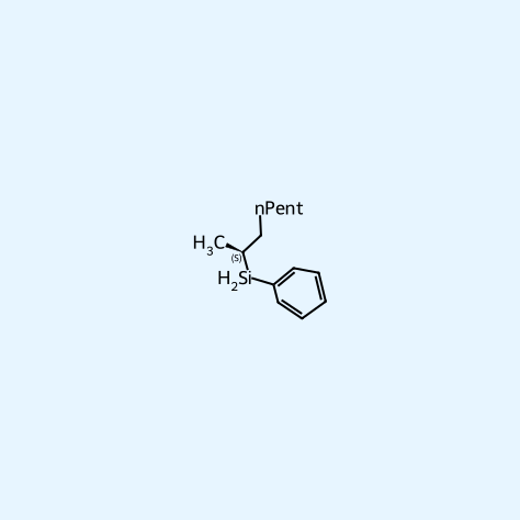 CCCCCC[C@H](C)[SiH2]c1ccccc1